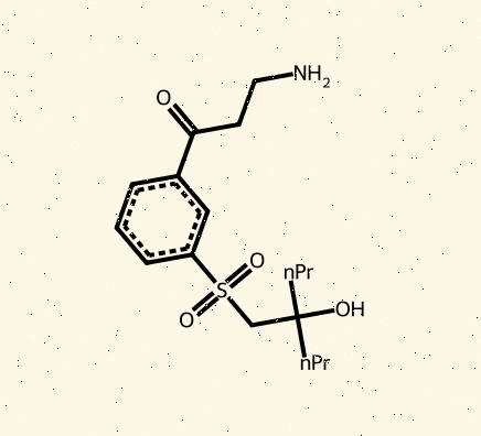 CCCC(O)(CCC)CS(=O)(=O)c1cccc(C(=O)CCN)c1